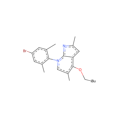 CCC(C)COc1c(C)cn(-c2c(C)cc(Br)cc2C)c2nc(C)cc1-2